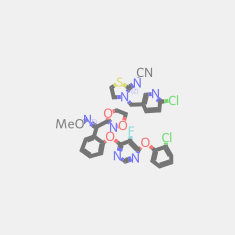 CO/N=C(/C1=NOCCO1)c1ccccc1Oc1ncnc(Oc2ccccc2Cl)c1F.N#C/N=C1\SCCN1Cc1ccc(Cl)nc1